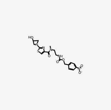 CN(CCNC(=O)OCc1ccc([N+](=O)[O-])cc1)C(=O)c1csc(N2CC(O)C2)n1